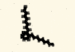 CCCCCCCCCc1ccnnc1CCCCCCCCC